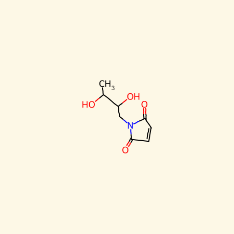 CC(O)C(O)CN1C(=O)C=CC1=O